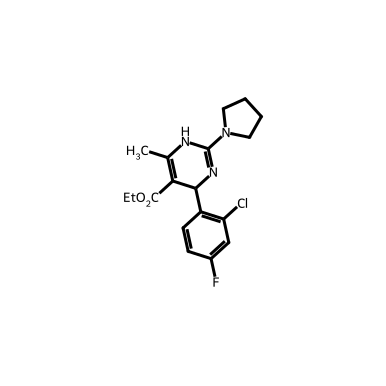 CCOC(=O)C1=C(C)NC(N2CCCC2)=NC1c1ccc(F)cc1Cl